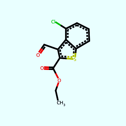 CCOC(=O)c1sc2cccc(Cl)c2c1C=O